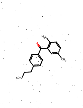 CCCCCCCCCCCCc1ccc(C(=O)c2cc(C)ccc2C)cc1